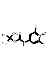 CC(C)(C)OC(=O)Nc1cc(Cl)[n+]([O-])c(Cl)c1